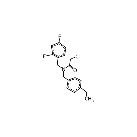 CCc1ccc(CN(Cc2ccc(F)cc2F)C(=O)CCl)cc1